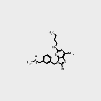 CCCCNc1nc(N)c2nc(Br)n(Cc3cccc(C[PH](C)=O)c3)c2n1